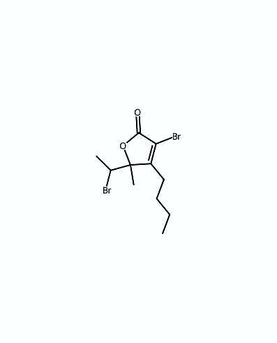 CCCCC1=C(Br)C(=O)OC1(C)C(C)Br